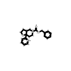 O=C(OCc1ccccc1)N1CCC2(c3ccccn3)OCCC2C1